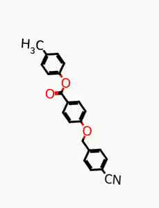 Cc1ccc(OC(=O)c2ccc(OCc3ccc(C#N)cc3)cc2)cc1